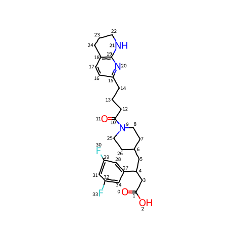 O=C(O)CC(CC1CCN(C(=O)CCCc2ccc3c(n2)NCCC3)CC1)c1cc(F)cc(F)c1